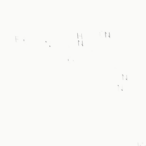 N#Cc1cc2nn(C3CCC(CO)CC3)cc2cc1NC(=O)c1cccc(C(F)(F)F)n1